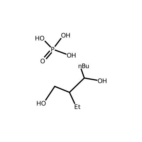 CCCCC(O)C(CC)CO.O=P(O)(O)O